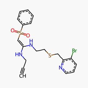 C#CCNC(=CS(=O)(=O)c1ccccc1)NCCSCc1ncccc1Br